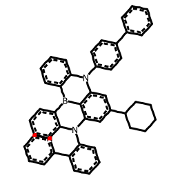 c1ccc(-c2ccc(N3c4ccccc4B4c5ccccc5N(c5ccccc5-c5ccccn5)c5cc(C6CCCCC6)cc3c54)cc2)cc1